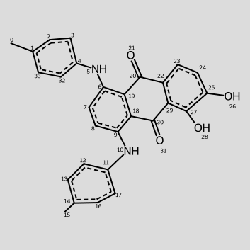 Cc1ccc(Nc2ccc(Nc3ccc(C)cc3)c3c2C(=O)c2ccc(O)c(O)c2C3=O)cc1